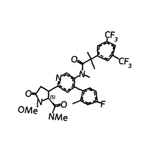 CNC(=O)[C@@H]1C(c2cc(-c3ccc(F)cc3C)c(N(C)C(=O)C(C)(C)c3cc(C(F)(F)F)cc(C(F)(F)F)c3)cn2)CC(=O)N1OC